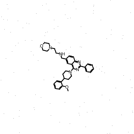 COc1ccccc1C1CCN(c2nc(-c3ccccc3)nc3ccc(CNCCN4CCOCC4)cc23)CC1